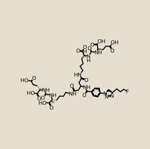 O=C(O)CC[C@H](NC(=O)N[C@H](CCCCNC(=O)CC(CC(=O)NCCCC[C@H](NC(=O)N[C@H](CCC(=O)O)C(=O)O)C(=O)O)NC(=O)c1ccc(-n2cc(CCCF)nn2)cc1)C(=O)O)C(=O)O